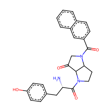 N[C@@H](Cc1ccc(O)cc1)C(=O)N1CCC2C1C(=O)CN2C(=O)c1ccc2ccccc2c1